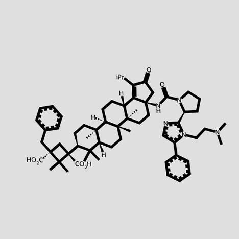 CC(C)C1=C2[C@H]3CC[C@@H]4[C@]5(C)CC[C@H]([C@@]6(C(=O)O)C[C@@](Cc7ccccc7)(C(=O)O)C6(C)C)C(C)(C)[C@H]5CC[C@@]4(C)[C@]3(C)CC[C@@]2(NC(=O)N2CCC[C@H]2c2ncc(-c3ccccc3)n2CCN(C)C)CC1=O